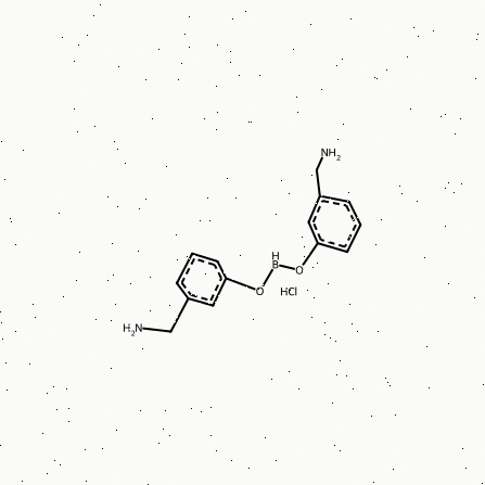 Cl.NCc1cccc(OBOc2cccc(CN)c2)c1